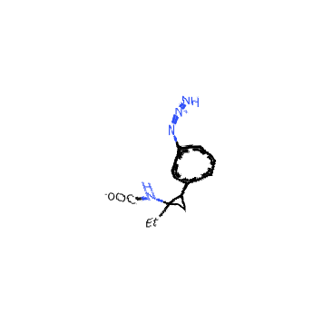 CCC1(NC(=O)[O-])CC1c1cccc(N=[N+]=N)c1